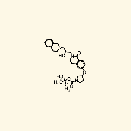 CC(C)(C)OC(=O)N1CCC(Oc2ccc3c(c2)CCN(C[C@H](O)CN2CCc4ccccc4C2)C3=O)C1